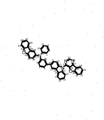 c1ccc(N(c2cccc(-c3ccc4c(c3)c3ccccc3n4-c3ncnc4c3oc3ccccc34)c2)c2ccc3oc4ccccc4c3c2)cc1